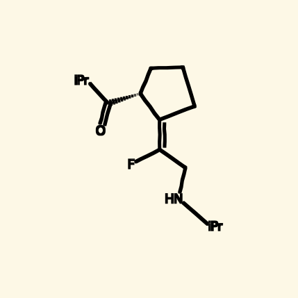 CC(C)NC/C(F)=C1\CCC[C@H]1C(=O)C(C)C